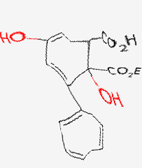 CCOC(=O)C1(O)C(c2ccccc2)=CC(O)=CC1C(=O)O